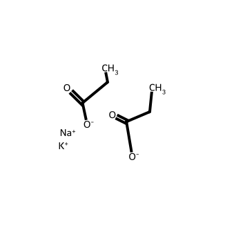 CCC(=O)[O-].CCC(=O)[O-].[K+].[Na+]